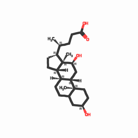 C[C@H](CCC(=O)O)[C@H]1CC[C@H]2[C@@H]3CCC4C[C@H](O)CC[C@]4(C)[C@H]3C[C@H](O)[C@]12C